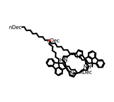 CCCCCCCCCCCCCCCCCCCCCCCCCCCCCCCCC1(C)c2ccccc2-c2cccc(-c3c4nc(cc5ccc([nH]5)c(-c5cccc6c5C(CCCCCCCCCCCCCCCC)(CCCCCCCCCCCCCCCC)c5ccccc5-6)c5nc(cc6ccc3[nH]6)C=C5)C=C4)c21